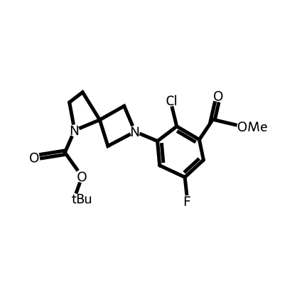 COC(=O)c1cc(F)cc(N2CC3(CCN3C(=O)OC(C)(C)C)C2)c1Cl